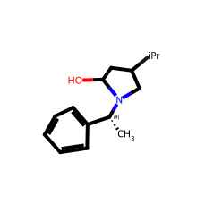 CC(C)C1CC(O)N([C@H](C)c2ccccc2)C1